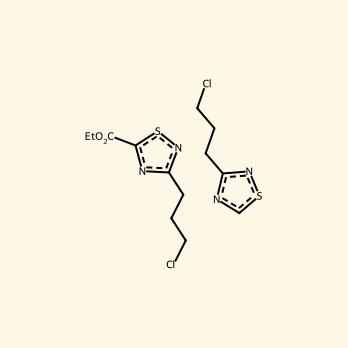 CCOC(=O)c1nc(CCCCl)ns1.ClCCCc1ncsn1